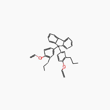 C=COc1ccc(C2(c3ccc(OC=C)c(CCC)c3)c3ccccc3-c3ccccc32)cc1CCC